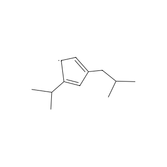 CC(C)CC1=C[CH]C(C(C)C)=C1